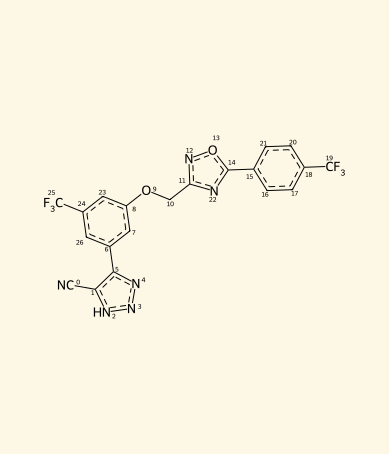 N#Cc1[nH]nnc1-c1cc(OCc2noc(-c3ccc(C(F)(F)F)cc3)n2)cc(C(F)(F)F)c1